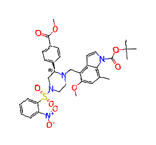 COC(=O)c1ccc([C@@H]2CN(S(=O)(=O)c3ccccc3[N+](=O)[O-])CCN2Cc2c(OC)cc(C)c3c2ccn3C(=O)OC(C)(C)C)cc1